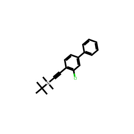 CC(C)(C)[Si](C)(C)C#Cc1ccc(-c2ccccc2)cc1Cl